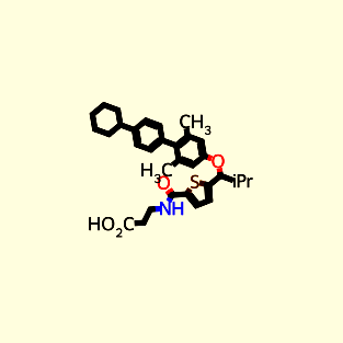 Cc1cc(OC(c2ccc(C(=O)NCCC(=O)O)s2)C(C)C)cc(C)c1-c1ccc(C2CCCCC2)cc1